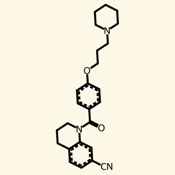 N#Cc1ccc2c(c1)N(C(=O)c1ccc(OCCCN3CCCCC3)cc1)CCC2